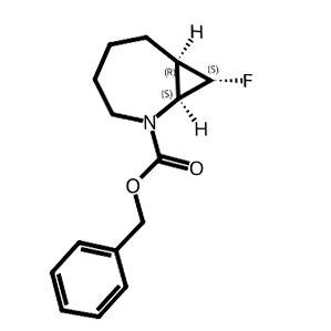 O=C(OCc1ccccc1)N1CCCC[C@H]2[C@H](F)[C@H]21